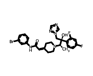 C[C@@H](N1CCC(=CC(=O)Nc2cccc(Br)c2)CC1)[C@](O)(Cn1cncn1)c1ccc(F)cc1F